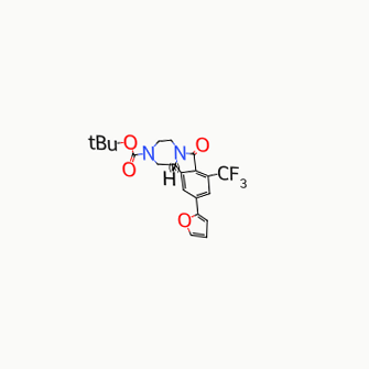 CC(C)(C)OC(=O)N1CCN2C(=O)c3c(cc(-c4ccco4)cc3C(F)(F)F)[C@@H]2C1